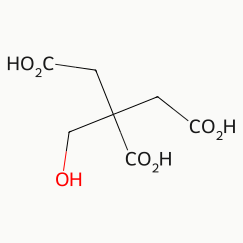 O=C(O)CC(CO)(CC(=O)O)C(=O)O